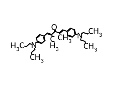 CCCN(CCC)c1ccc(/C=C(\C)C(=O)/C(C)=C/c2ccc(N(CCC)CCC)cc2)cc1